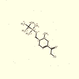 CN1CC(C(=O)CCl)=CC[C@H]1CO[Si](C)(C)C(C)(C)C